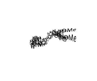 COC[C@H]1C[C@@H](c2nc3ccc4cc(-c5ccc6c(ccc7nc([C@@H]8C[C@H]9C[C@H]9N8C(=O)OC(C)(C)C)[nH]c76)c5)ccc4c3[nH]2)N(C(=O)[C@@H](NC(=O)OC)C(C)C)C1